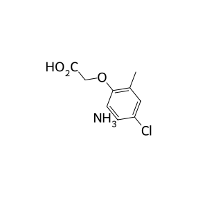 Cc1cc(Cl)ccc1OCC(=O)O.N